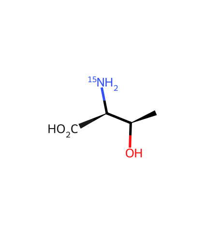 C[C@@H](O)[C@H]([15NH2])C(=O)O